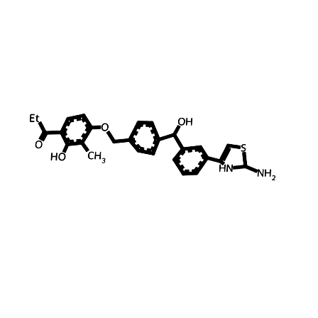 CCC(=O)c1ccc(OCc2ccc(C(O)c3cccc(C4=CSC(N)N4)c3)cc2)c(C)c1O